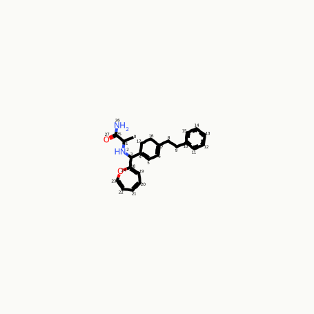 CC(NC(C1=CC=C(CCc2ccccc2)CC1)C1=CC=CC=CO1)C(N)=O